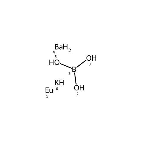 OB(O)O.[BaH2].[Eu].[KH]